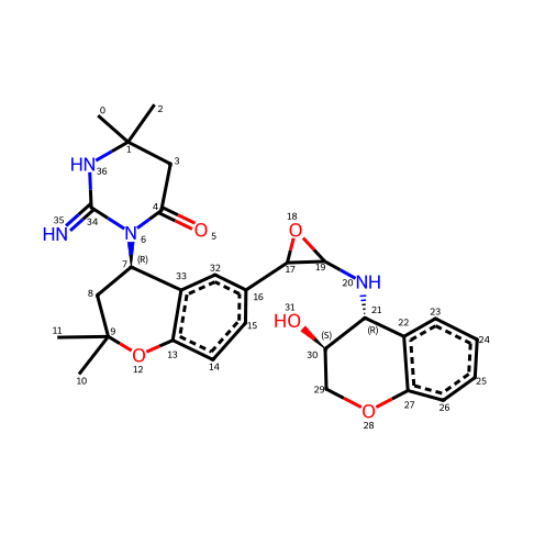 CC1(C)CC(=O)N([C@@H]2CC(C)(C)Oc3ccc(C4OC4N[C@@H]4c5ccccc5OC[C@H]4O)cc32)C(=N)N1